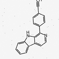 C#Cc1ccc(-c2nccc3c2[nH]c2ccccc23)cc1